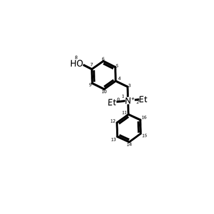 CC[N+](CC)(Cc1ccc(O)cc1)c1ccccc1